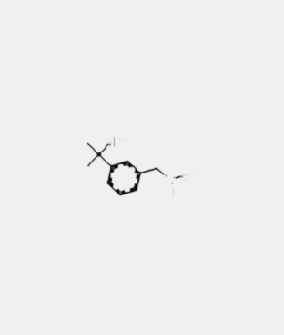 CCNCc1cccc(C(C)(C)C(C)C)c1